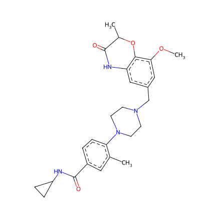 COc1cc(CN2CCN(c3ccc(C(=O)NC4CC4)cc3C)CC2)cc2c1OC(C)C(=O)N2